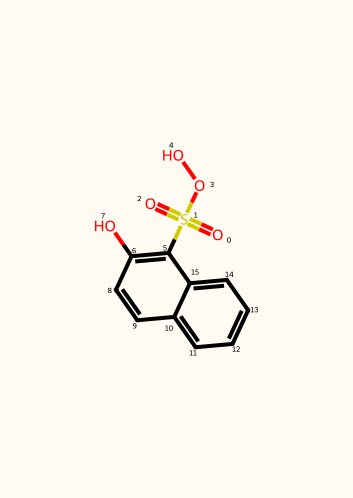 O=S(=O)(OO)c1c(O)ccc2ccccc12